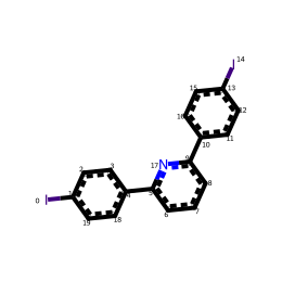 Ic1ccc(-c2cccc(-c3ccc(I)cc3)n2)cc1